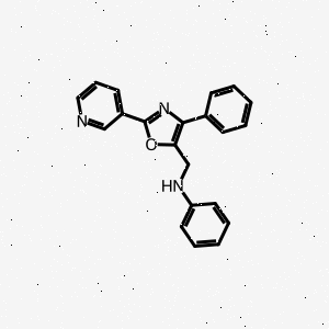 c1ccc(NCc2oc(-c3cccnc3)nc2-c2ccccc2)cc1